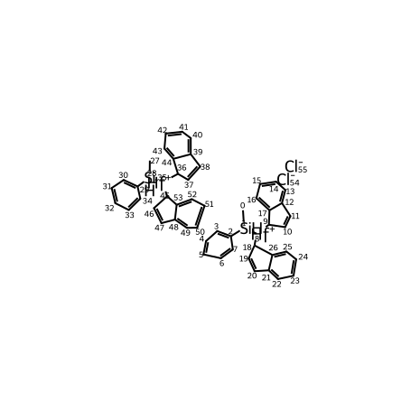 C[SiH](c1ccccc1)[Hf+]([CH]1C=Cc2ccccc21)[CH]1C=Cc2ccccc21.C[SiH](c1ccccc1)[Hf+]([CH]1C=Cc2ccccc21)[CH]1C=Cc2ccccc21.[Cl-].[Cl-]